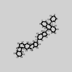 c1ccc(-c2c3ccccc3c(-c3ccc4cc(-c5ccc6sc7cc8c(ccc9sc%10ccccc%10c98)cc7c6c5)ccc4c3)c3ccccc23)cc1